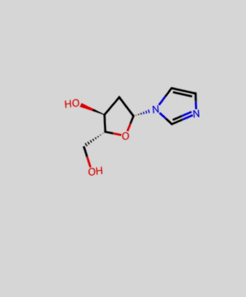 OC[C@H]1O[C@@H](n2ccnc2)C[C@@H]1O